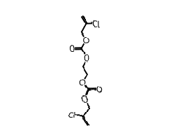 C=C(Cl)COC(=O)OCCOC(=O)OCC(=C)Cl